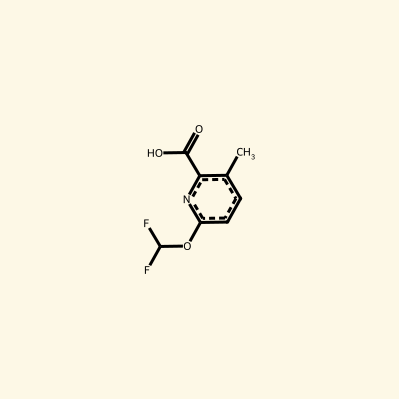 Cc1ccc(OC(F)F)nc1C(=O)O